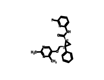 Cc1ncc(OC[C@@]2(c3ccccc3)C[C@H]2C(=O)Nc2cccc(F)n2)c(C)n1